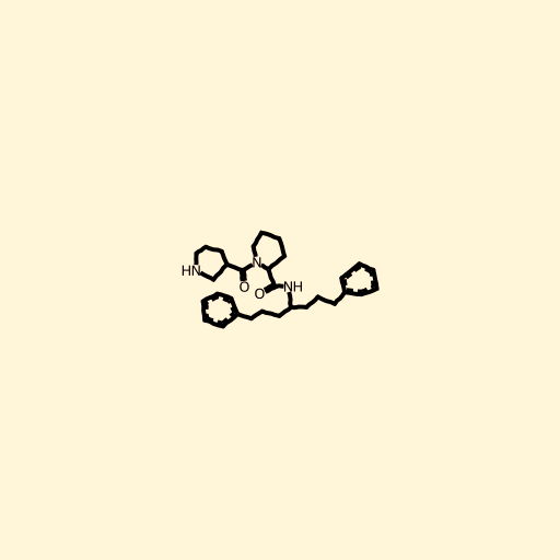 O=C(NC(CCCc1ccccc1)CCCc1ccccc1)C1CCCCN1C(=O)C1CCCNC1